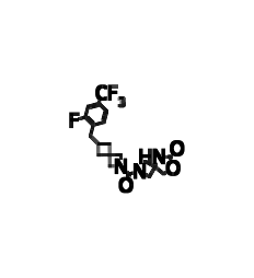 O=C1NC2(CO1)CN(C(=O)N1CC3(CC(Cc4ccc(C(F)(F)F)cc4F)C3)C1)C2